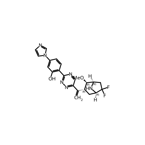 C=C(c1cnc(-c2ccc(-n3ccnc3)cc2O)nn1)[C@H]1C[C@H]2N[C@H](CC2(F)F)[C@@H]1OC